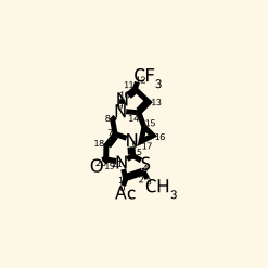 CC(=O)c1c(C)sc2nc(Cn3nc(C(F)(F)F)cc3C3CC3)cc(=O)n12